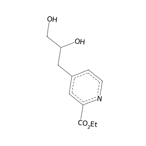 CCOC(=O)c1cc(CC(O)CO)ccn1